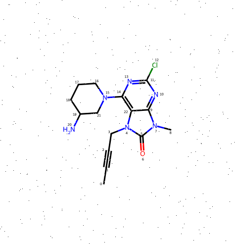 CC#CCn1c(=O)n(C)c2nc(Cl)nc(N3CCCC(N)C3)c21